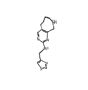 c1nc(CNc2ncc3c(n2)CNCC3)cs1